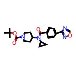 CC(C)(C)OC(=O)N1CCC(N(C(=O)c2ccc(-c3ncon3)cc2)C2CC2)CC1